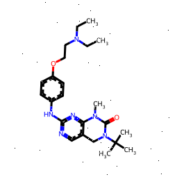 CCN(CC)CCOc1ccc(Nc2ncc3c(n2)N(C)C(=O)N(C(C)(C)C)C3)cc1